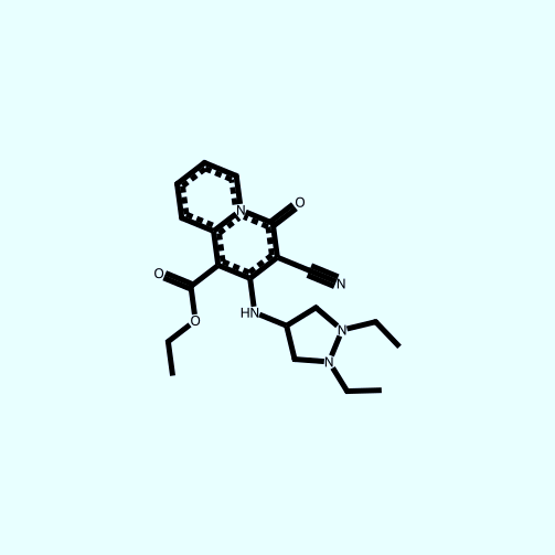 CCOC(=O)c1c(NC2CN(CC)N(CC)C2)c(C#N)c(=O)n2ccccc12